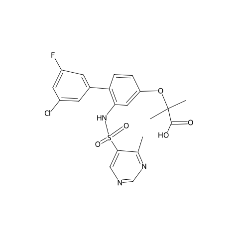 Cc1ncncc1S(=O)(=O)Nc1cc(OC(C)(C)C(=O)O)ccc1-c1cc(F)cc(Cl)c1